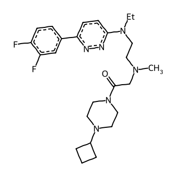 CCN(CCN(C)CC(=O)N1CCN(C2CCC2)CC1)c1ccc(-c2ccc(F)c(F)c2)nn1